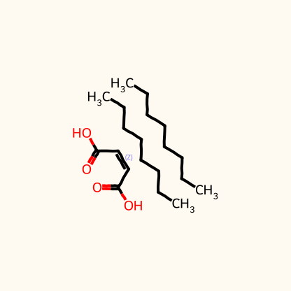 CCCCCCCC.CCCCCCCC.O=C(O)/C=C\C(=O)O